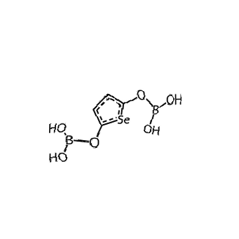 OB(O)Oc1ccc(OB(O)O)[se]1